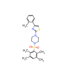 Cc1ccccc1-c1csc(N2CCN(S(=O)(=O)c3c(C)c(C)cc(C)c3C)CC2)n1